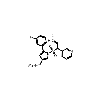 C=CC(c1cccnc1)S(=O)(=O)n1cc(CNC)cc1-c1cccc(F)c1.Cl